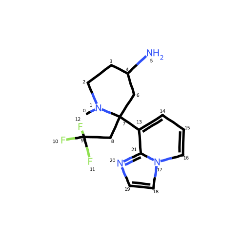 CN1CCC(N)CC1(CC(F)(F)F)c1cccn2ccnc12